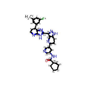 Cc1cc(F)cc(-c2ccnc3[nH]c(-c4n[nH]c5ccc(-c6cncc(NC(=O)C7CCCCC7)c6)nc45)nc23)c1